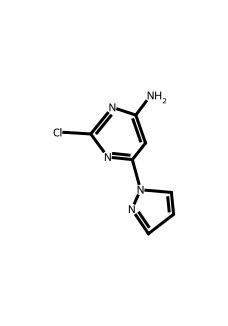 Nc1cc(-n2cccn2)nc(Cl)n1